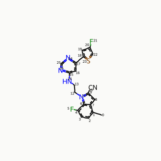 Cc1ccc(F)c2c1cc(C#N)n2CCNc1cc(-c2cc(F)cs2)ncn1